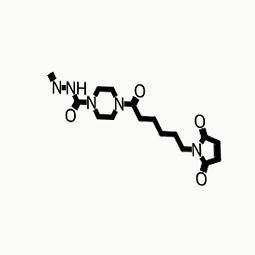 C=NNC(=O)N1CCN(C(=O)CCCCCN2C(=O)C=CC2=O)CC1